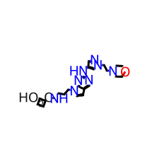 C1CCC1.O=C(O)NCCCn1ccc2cnc(Nc3cnn(CCN4CCOCC4)c3)nc21